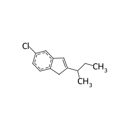 CCC(C)C1=Cc2cc(Cl)ccc2C1